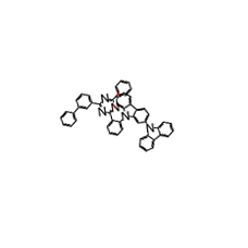 c1ccc(-c2cccc(-c3nc(-c4ccccc4)nc(-c4ccccc4-n4c5ccccc5c5ccc(-n6c7ccccc7c7ccccc76)cc54)n3)c2)cc1